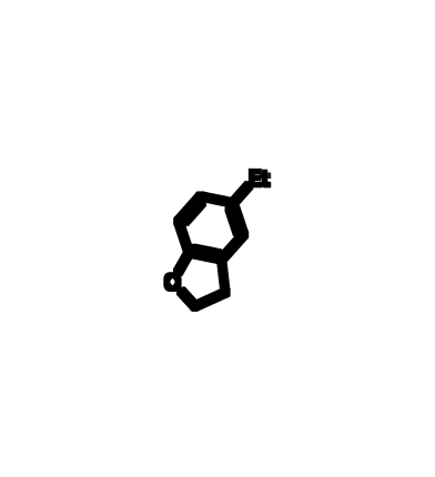 [CH2]Cc1ccc2c(c1)CCO2